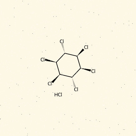 Cl.Cl[C@H]1[C@H](Cl)[C@@H](Cl)[C@@H](Cl)[C@H](Cl)[C@H]1Cl